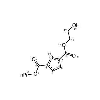 CCCOC(=O)c1ccc(C(=O)OCCO)o1